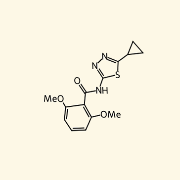 COc1cccc(OC)c1C(=O)Nc1nnc(C2CC2)s1